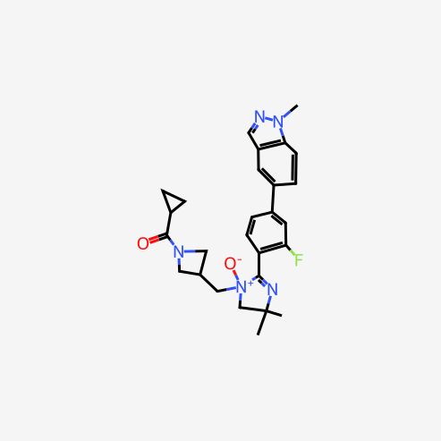 Cn1ncc2cc(-c3ccc(C4=NC(C)(C)C[N+]4([O-])CC4CN(C(=O)C5CC5)C4)c(F)c3)ccc21